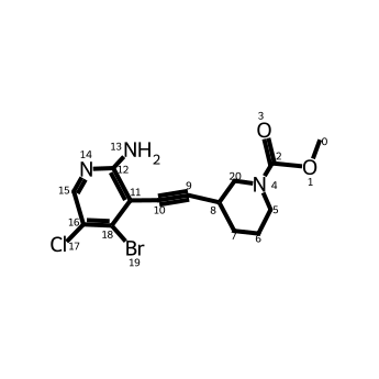 COC(=O)N1CCCC(C#Cc2c(N)ncc(Cl)c2Br)C1